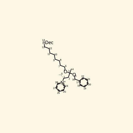 [CH2][C@H](CC(C)(OCCCCCCCCCCCCCCCCCC)OCc1ccccc1)[n+]1ccccc1